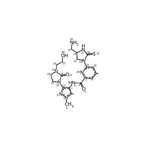 Cn1cc(NC(=O)c2cccc(N3CC(CN)NC3=S)n2)c(N2CCN(CCO)C2=O)n1